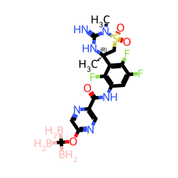 BC(B)(B)Oc1cnc(C(=O)Nc2cc(F)c(F)c([C@]3(C)CS(=O)(=O)N(C)C(=N)N3)c2F)cn1